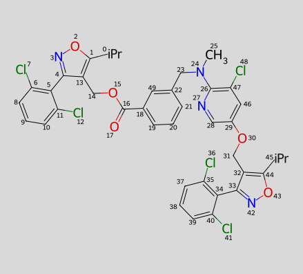 CC(C)c1onc(-c2c(Cl)cccc2Cl)c1COC(=O)c1cccc(CN(C)c2ncc(OCc3c(-c4c(Cl)cccc4Cl)noc3C(C)C)cc2Cl)c1